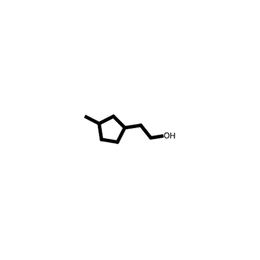 CC1CCC(CCO)C1